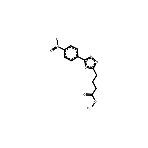 COC(=O)CCCc1nnc(-c2ccc([N+](=O)[O-])cc2)o1